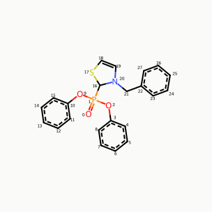 O=P(Oc1ccccc1)(Oc1ccccc1)C1SC=CN1Cc1ccccc1